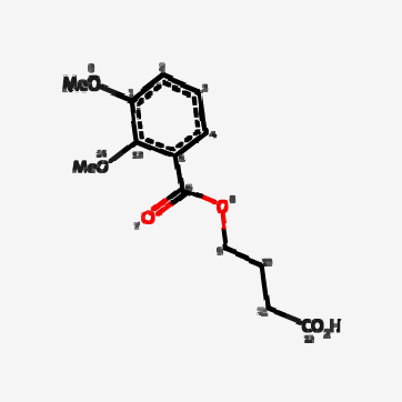 COc1cccc(C(=O)OCCCC(=O)O)c1OC